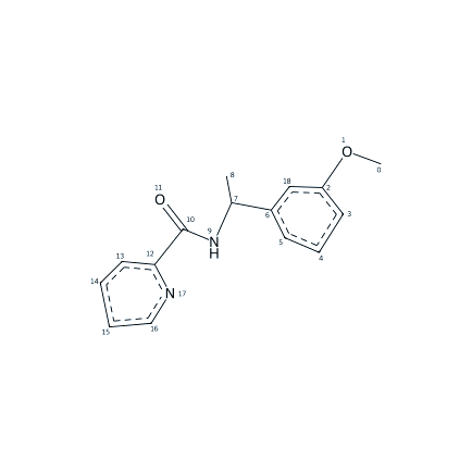 COc1cccc(C(C)NC(=O)c2ccccn2)c1